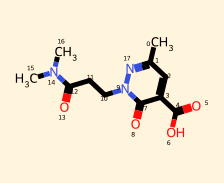 Cc1cc(C(=O)O)c(=O)n(CCC(=O)N(C)C)n1